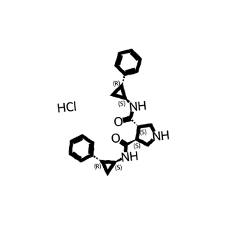 Cl.O=C(N[C@H]1C[C@@H]1c1ccccc1)[C@@H]1CNC[C@H]1C(=O)N[C@H]1C[C@@H]1c1ccccc1